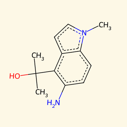 Cn1ccc2c(C(C)(C)O)c(N)ccc21